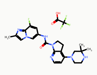 Cc1cn2cc(NC(=O)N3CCc4c(N5CCNC(C)(C)C5)ccnc43)cc(F)c2n1.O=C(O)C(F)(F)F